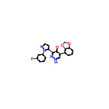 O=c1c(-c2cccc3c2OCO3)c[nH]nc1-c1ccnn1-c1cccc(F)c1